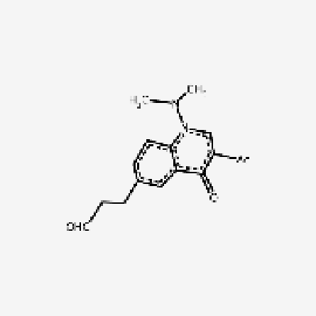 CC(=O)c1cn(N(C)C)c2ccc(CCC=O)cc2c1=O